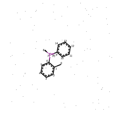 Cc1ccccc1[P@@](C)c1ccccc1